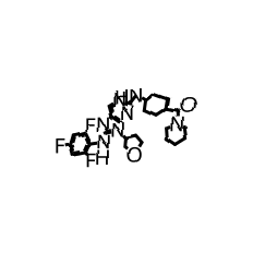 O=C(C1CCC(Nc2ncc3nc(Nc4c(F)cc(F)cc4F)n(C4CCOC4)c3n2)CC1)N1CCCCC1